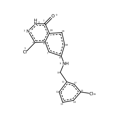 O=c1[nH]nc(Cl)c2cc(NCc3cccc(Cl)c3)ccc12